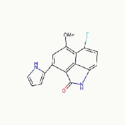 COc1cc(-c2ccc[nH]2)c2c3c(ccc(F)c13)NC2=O